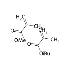 C=C(C)C(=O)OC.C=C(C)C(=O)OCC(C)C